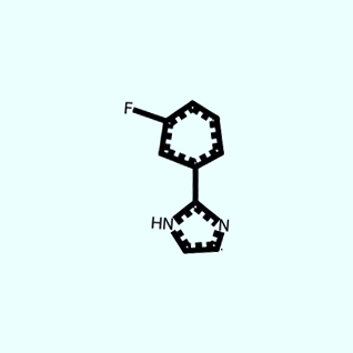 Fc1cccc(-c2n[c]c[nH]2)c1